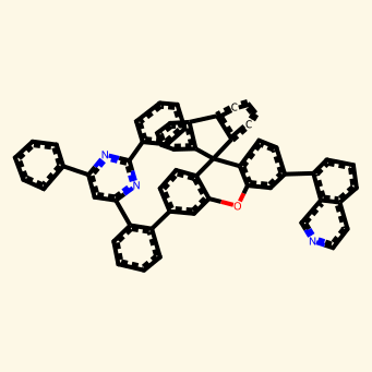 c1ccc(-c2cc(-c3ccccc3-c3ccc4c(c3)Oc3cc(-c5cccc6ccncc56)ccc3C43c4ccccc4-c4ccccc43)nc(-c3ccccc3)n2)cc1